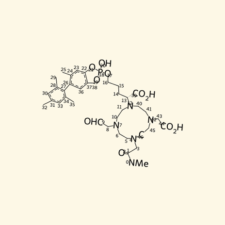 CNC(=O)CN1CCN(CC=O)CCN([C@H](CCCOP(=O)(O)Oc2cc(C)c(-c3c(C)cc(C)cc3C)cc2C)C(=O)O)CCN(CC(=O)O)CC1